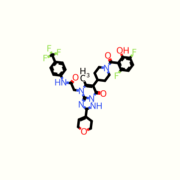 CC1=C(C2CCN(C(=O)c3c(F)ccc(F)c3O)CC2)C(=O)N2NC(C3=CCOCC3)N=C2N1CC(=O)Nc1ccc(C(F)(F)F)cc1